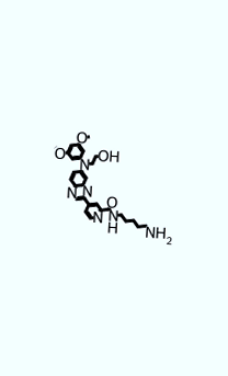 COc1cc(OC)cc(N(CCO)c2ccc3ncc(-c4ccnc(C(=O)NCCCCCN)c4)nc3c2)c1